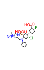 CN1C(CN=[N+]=[N-])CN(c2ccccc2)c2cc(Cl)c(-c3ccc(F)c(C(=O)O)c3)cc2S1(O)O